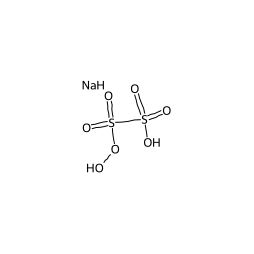 O=S(=O)(O)S(=O)(=O)OO.[NaH]